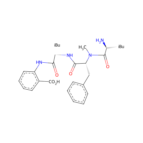 CC[C@@H](C)[C@H](N)C(=O)N(C)[C@H](Cc1ccccc1)C(=O)N[C@H](C(=O)Nc1ccccc1C(=O)O)[C@H](C)CC